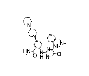 CNC(=O)c1cc(N2CCC(N3CCCCC3)CC2)ccc1Nc1ncc(Cl)c(Nc2ccccc2CN(C)C)n1